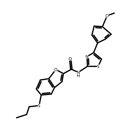 CCCSc1ccc2oc(C(=O)Nc3nc(-c4ccc(OC)cc4)cs3)cc2c1